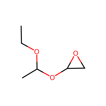 CCOC(C)OC1CO1